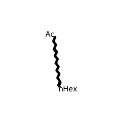 CCCCCCC=CCCCCCCCC=CCCCC(C)=O